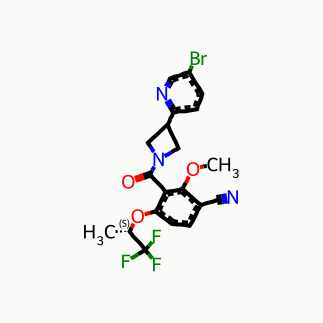 COc1c(C#N)ccc(O[C@@H](C)C(F)(F)F)c1C(=O)N1CC(c2ccc(Br)cn2)C1